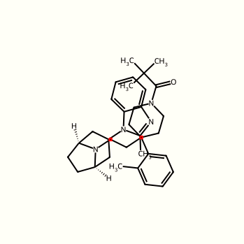 Cc1ccccc1C1(CCN2[C@@H]3CC[C@H]2CC(n2c(C)nc4ccccc42)C3)CCN(C(=O)C(C)(C)C)CC1